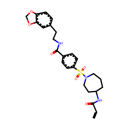 C=CC(=O)NC1CCCN(S(=O)(=O)c2ccc(C(=O)NCCc3ccc4c(c3)OCO4)cc2)CC1